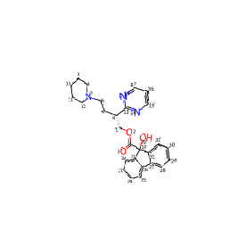 O=C(OC[C@H](CCN1CCCCC1)c1ncccn1)C1(O)c2ccccc2-c2ccccc21